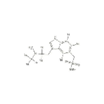 [2H]c1c(CS(=O)(=O)NC)c([2H])c2c(CC([2H])([2H])N(C)C([2H])([2H])[2H])c[nH]c2c1[2H]